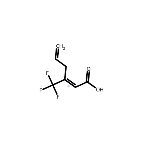 C=CC/C(=C\C(=O)O)C(F)(F)F